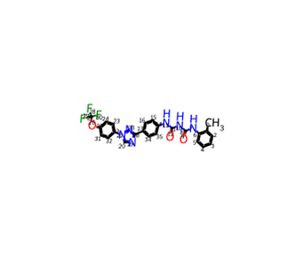 Cc1ccccc1NC(=O)NC(=O)Nc1ccc(-c2ncn(-c3ccc(OC(F)(F)F)cc3)n2)cc1